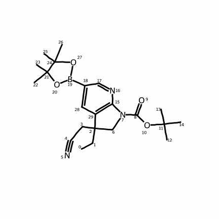 CCC1(CC#N)CN(C(=O)OC(C)(C)C)c2ncc(B3OC(C)(C)C(C)(C)O3)cc21